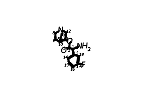 NC(C(=O)OC1CN2CCC1CC2)c1cccc(F)c1